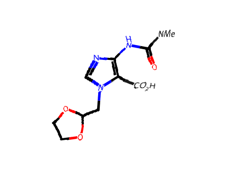 CNC(=O)Nc1ncn(CC2OCCO2)c1C(=O)O